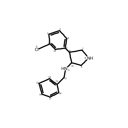 Clc1cccc(C2CNCC2NCc2ccccc2)c1